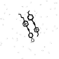 CCCCC12CCC(C#Cc3ccc(OC)cc3)(CC1)CC2.CCc1ccc(C#CC23CCC(CC)(CC2)CC3)cc1